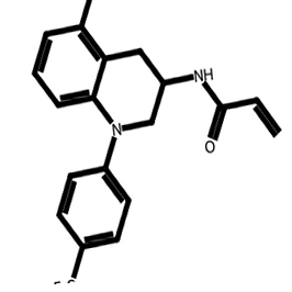 C=CC(=O)NC1Cc2c(C)cccc2N(c2ccc(C(F)(F)F)cc2)C1